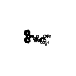 CC(C)OC(=O)C[C@H](NC(=O)OCC1c2ccccc2-c2ccccc21)C(=O)O